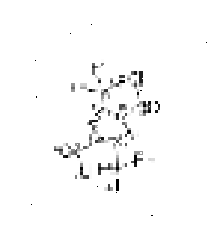 O=C(Cl)c1cc(C(F)(F)F)c(C(=O)Cl)cc1C(F)(F)F